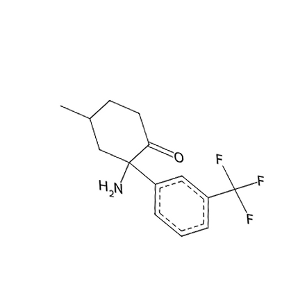 CC1CCC(=O)C(N)(c2cccc(C(F)(F)F)c2)C1